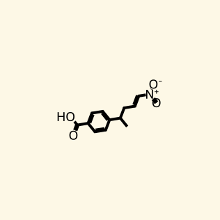 CC(CC=C[N+](=O)[O-])c1ccc(C(=O)O)cc1